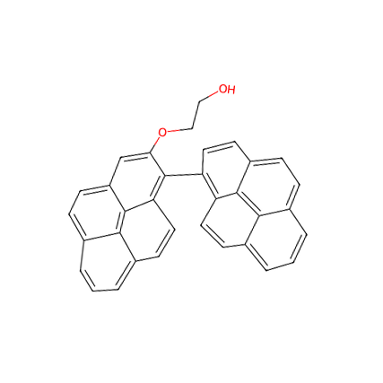 OCCOc1cc2ccc3cccc4ccc(c1-c1ccc5ccc6cccc7ccc1c5c67)c2c34